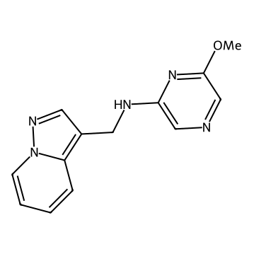 COc1cncc(NCc2cnn3ccccc23)n1